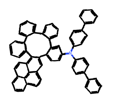 c1ccc(-c2ccc(N(c3ccc(-c4ccccc4)cc3)c3ccc4c(c3)c3ccccc3c3ccccc3c3ccccc3c3c4cc4ccc5cccc6ccc3c4c56)cc2)cc1